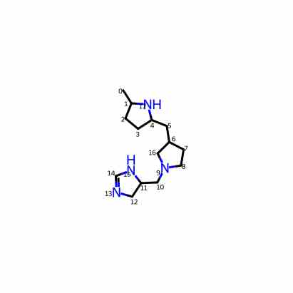 CC1CCC(CC2CCN(CC3CN=CN3)C2)N1